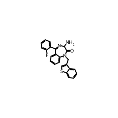 NC1N=C(c2ccccc2F)c2ccccc2N(Cc2csc3ccccc23)C1=O